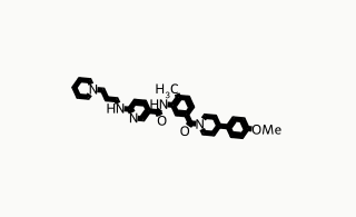 COc1ccc(C2CCN(C(=O)c3ccc(C)c(NC(=O)c4ccc(NCCCN5CCCCC5)nc4)c3)CC2)cc1